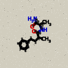 CC(CCc1ccccc1)C(=O)NC(C)C(N)=O